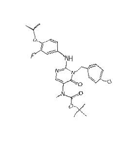 CC(C)Oc1ccc(Nc2ncc(N(C)C(=O)OC(C)(C)C)c(=O)n2Cc2ccc(Cl)cc2)cc1F